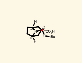 CC(C)(C)OC(=O)N1[C@@H]2CC[C@H]1C[C@@H](C(=O)O)C2